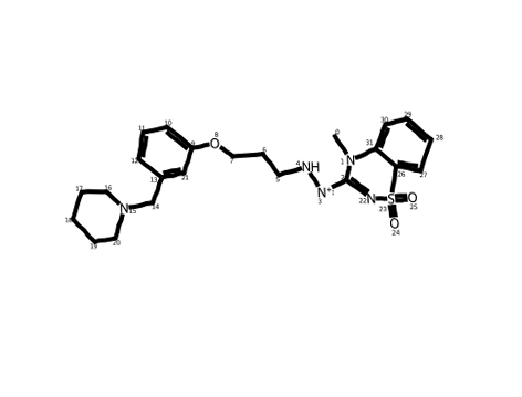 CN1C([N+]NCCCOc2cccc(CN3CCCCC3)c2)=NS(=O)(=O)c2ccccc21